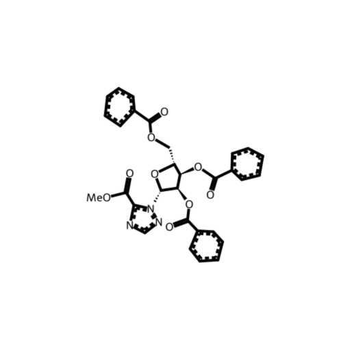 COC(=O)c1ncnn1[C@@H]1O[C@H](COC(=O)c2ccccc2)[C@@H](OC(=O)c2ccccc2)[C@H]1OC(=O)c1ccccc1